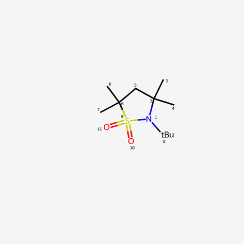 CC(C)(C)N1C(C)(C)CC(C)(C)S1(=O)=O